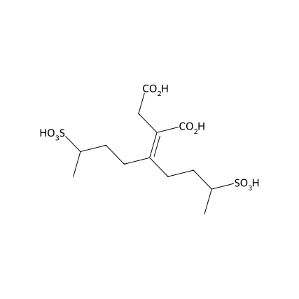 CC(CCC(CCC(C)S(=O)(=O)O)=C(CC(=O)O)C(=O)O)S(=O)(=O)O